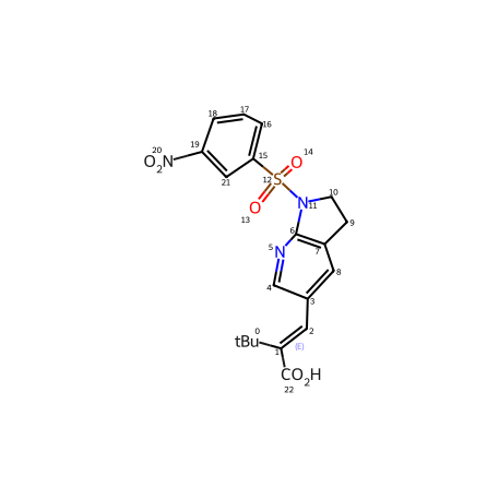 CC(C)(C)/C(=C\c1cnc2c(c1)CCN2S(=O)(=O)c1cccc([N+](=O)[O-])c1)C(=O)O